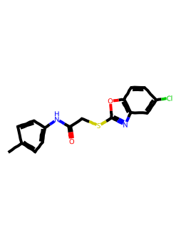 Cc1ccc(NC(=O)CSc2nc3cc(Cl)ccc3o2)cc1